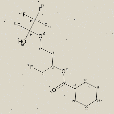 O=C(OC(CF)CCOC(O)(F)C(F)(F)F)C1CCCCC1